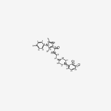 Cc1ccc(-n2c(C)nc(C(=O)NCCN3CCN(c4cccc(Cl)c4Cl)CC3)c2C)cc1